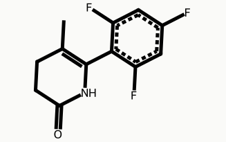 CC1=C(c2c(F)cc(F)cc2F)NC(=O)CC1